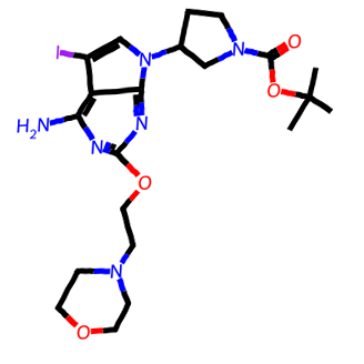 CC(C)(C)OC(=O)N1CCC(n2cc(I)c3c(N)nc(OCCN4CCOCC4)nc32)C1